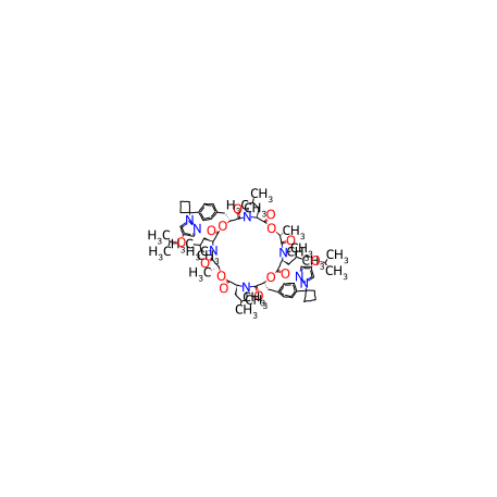 CC(C)C[C@H]1C(=O)O[C@H](Cc2ccc(C3(n4cc(OC(C)C)cn4)CCC3)cc2)C(=O)N(C)[C@@H](CC(C)C)C(=O)O[C@H](C)C(=O)N(C)[C@@H](CC(C)C)C(=O)O[C@H](Cc2ccc(C3(n4cc(OC(C)C)cn4)CCC3)cc2)C(=O)N(C)[C@@H](CC(C)C)C(=O)O[C@H](C)C(=O)N1C